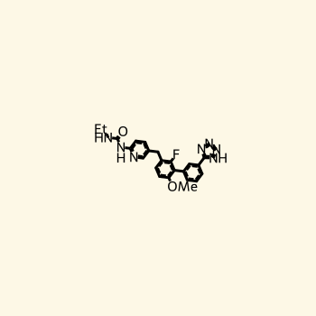 CCNC(=O)Nc1ccc(Cc2ccc(OC)c(-c3cccc(-c4nnn[nH]4)c3)c2F)cn1